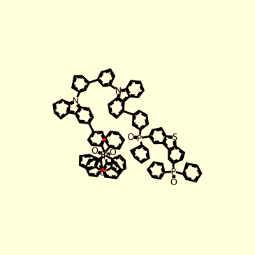 O=P(c1ccccc1)(c1ccccc1)c1ccc2sc3ccc(P(=O)(c4ccccc4)c4cccc(-c5cccc6c5c5ccccc5n6-c5cccc(-c6cccc(-n7c8ccccc8c8cc(-c9ccc(P(=O)(c%10ccccc%10)c%10ccccc%10Oc%10ccccc%10P(=O)(c%10ccccc%10)c%10ccccc%10)cc9)ccc87)c6)c5)c4)cc3c2c1